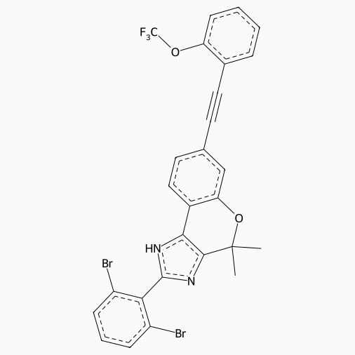 CC1(C)Oc2cc(C#Cc3ccccc3OC(F)(F)F)ccc2-c2[nH]c(-c3c(Br)cccc3Br)nc21